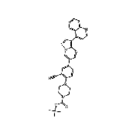 CC(C)(C)OC(=O)N1CCN(c2ccc(-c3cnc4c(-c5ccnc6ccccc56)cnn4c3)cc2C#N)CC1